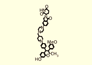 COc1cccc(C2C(c3ccc(N4CCC(CN5CCN(c6ccc7c(c6)CN(C6CCC(=O)NC6=O)C7=O)CC5)CC4)cc3)c3ccc(O)cc3O[C@H]2C)c1